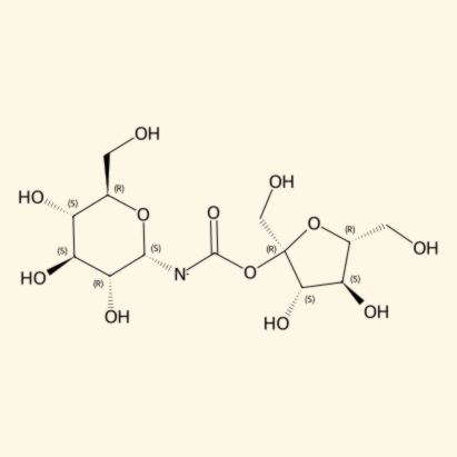 O=C([N][C@H]1O[C@H](CO)[C@@H](O)[C@H](O)[C@H]1O)O[C@@]1(CO)O[C@H](CO)[C@@H](O)[C@@H]1O